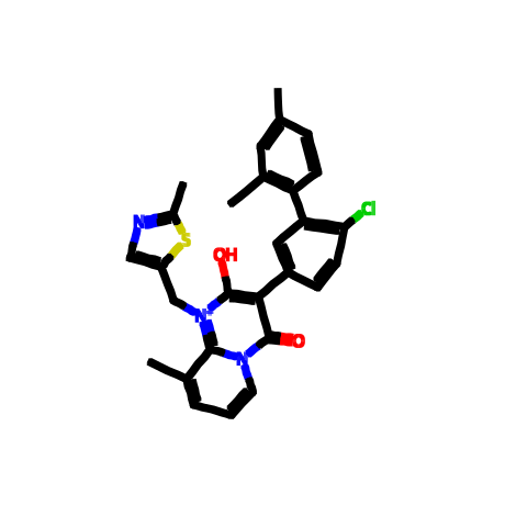 Cc1ccc(-c2cc(-c3c(O)[n+](Cc4cnc(C)s4)c4c(C)cccn4c3=O)ccc2Cl)c(C)c1